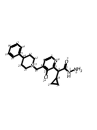 NNC(=O)C(c1nccc(CN2CCC(c3ccccc3)CC2)c1Cl)C1CC1